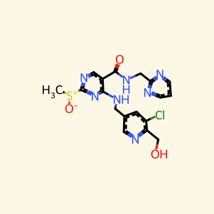 C[S+]([O-])c1ncc(C(=O)NCc2ncccn2)c(NCc2cnc(CO)c(Cl)c2)n1